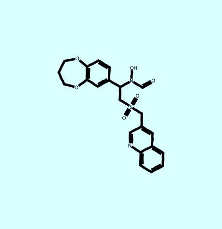 O=CN(O)C(CS(=O)(=O)Cc1cnc2ccccc2c1)c1ccc2c(c1)OCCCO2